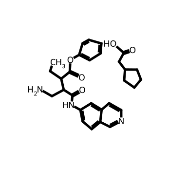 CCC(C(=O)Oc1ccccc1)C(CN)C(=O)Nc1ccc2cnccc2c1.O=C(O)CC1CCCC1